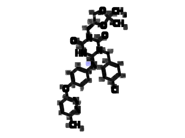 Cc1ccc(Oc2ccc(/N=c3\[nH]c(=O)n(C[C@H]4COC(C)(C)O4)c(=O)n3Cc3ccc(Cl)cc3)cc2)nn1